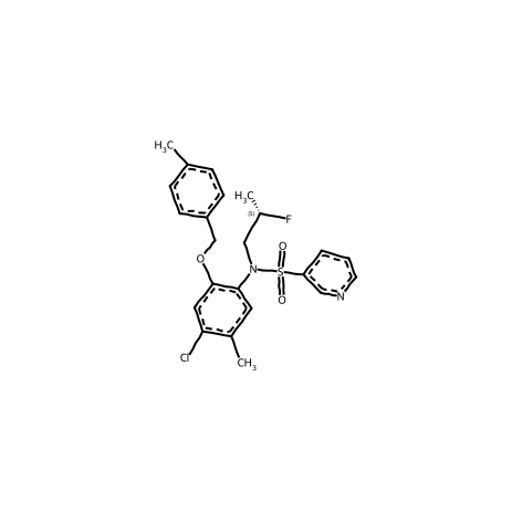 Cc1ccc(COc2cc(Cl)c(C)cc2N(C[C@H](C)F)S(=O)(=O)c2cccnc2)cc1